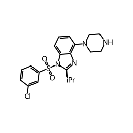 CC(C)c1nc2c(N3CCNCC3)cccc2n1S(=O)(=O)c1cccc(Cl)c1